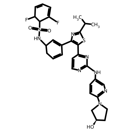 CC(C)c1nc(C2=CC(NS(=O)(=O)C3C(F)=CC=CC3F)CC=C2)c(-c2ccnc(Nc3ccc(N4CC[C@@H](O)C4)nc3)n2)s1